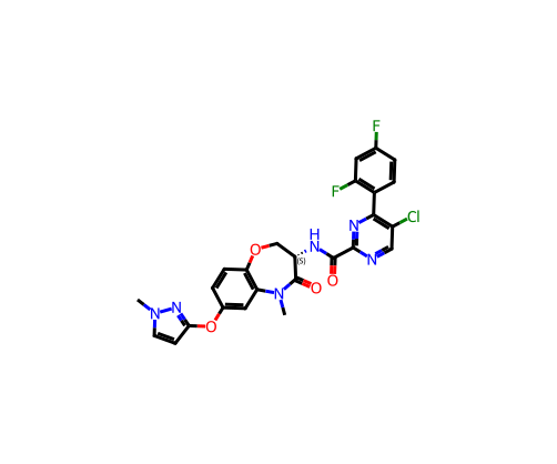 CN1C(=O)[C@@H](NC(=O)c2ncc(Cl)c(-c3ccc(F)cc3F)n2)COc2ccc(Oc3ccn(C)n3)cc21